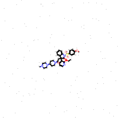 CCOc1ncccc1C1(CC(=O)N2CCC(N3CCN(C)CC3)CC2)C(=O)N(S(=O)(=O)c2ccc(OC)cc2)c2ccccc21